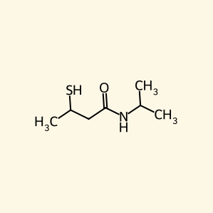 CC(S)CC(=O)NC(C)C